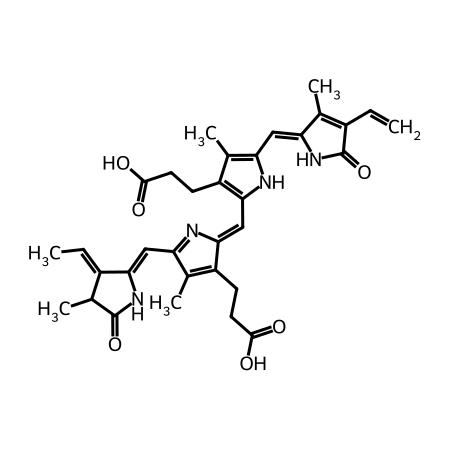 C=CC1=C(C)/C(=C/c2[nH]c(/C=C3N=C(/C=C4\NC(=O)C(C)\C4=C/C)C(C)=C\3CCC(=O)O)c(CCC(=O)O)c2C)NC1=O